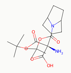 CC(C)(C)OC(=O)N1C2CCC1CC([C@](N)(C(=O)O)C(=O)OC(C)(C)C)C2